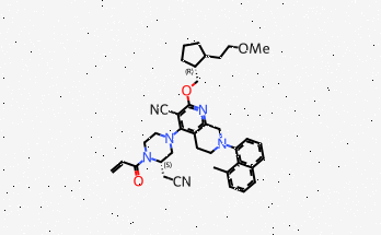 C=CC(=O)N1CCN(c2c(C#N)c(OC[C@@H]3CCCC3CCOC)nc3c2CCN(c2cccc4cccc(C)c24)C3)C[C@@H]1CC#N